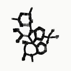 Cc1cc(C)nc(O[C@H](C(=O)O)[C@@]2(c3cccc(C(F)(F)F)c3)NCC(=O)N(C)c3ccccc32)n1